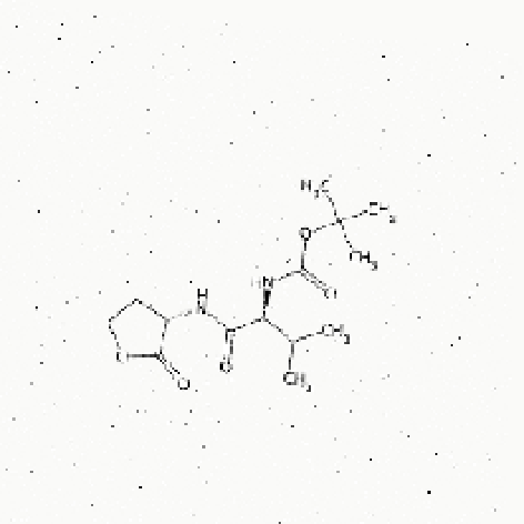 CC(C)[C@H](NC(=O)OC(C)(C)C)C(=O)N[C@H]1CCOC1=O